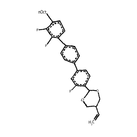 C=CC1COC(c2ccc(-c3ccc(-c4ccc(CCCCCCCC)c(F)c4F)cc3)cc2F)OC1